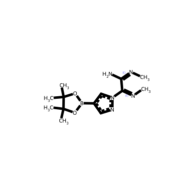 C/N=C(N)\C(=N/C)n1cc(B2OC(C)(C)C(C)(C)O2)cn1